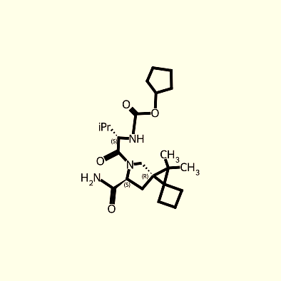 CC(C)[C@H](NC(=O)OC1CCCC1)C(=O)N1C[C@]2(C[C@H]1C(N)=O)C(C)(C)C21CCC1